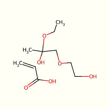 C=CC(=O)O.CCOC(C)(O)COCCO